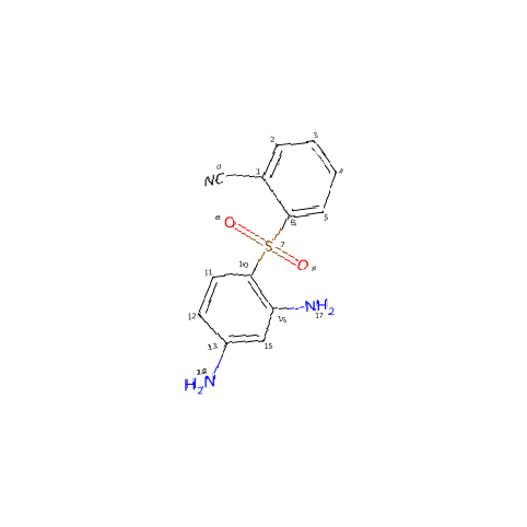 N#Cc1ccccc1S(=O)(=O)c1ccc(N)cc1N